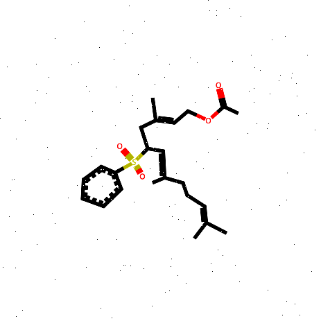 CC(=O)OCC=C(C)CC(C=C(C)CCC=C(C)C)S(=O)(=O)c1ccccc1